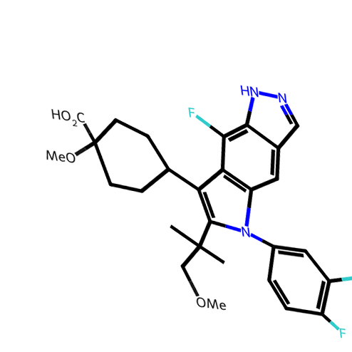 COCC(C)(C)c1c(C2CCC(OC)(C(=O)O)CC2)c2c(F)c3[nH]ncc3cc2n1-c1ccc(F)c(F)c1